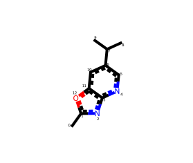 Cc1nc2ncc(C(C)C)cc2o1